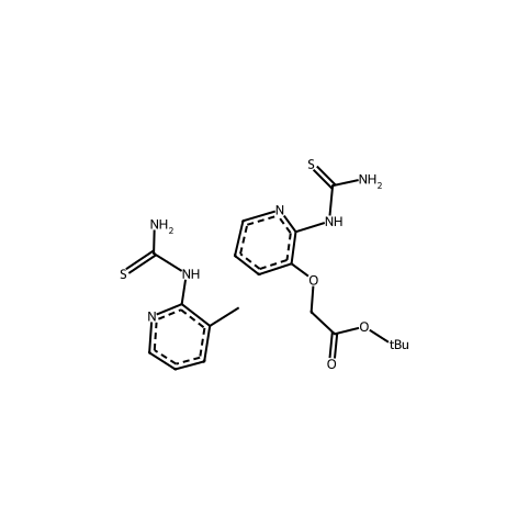 CC(C)(C)OC(=O)COc1cccnc1NC(N)=S.Cc1cccnc1NC(N)=S